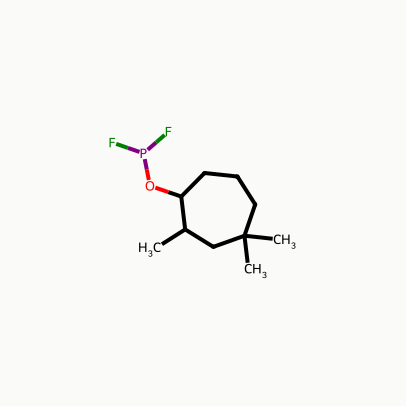 CC1CC(C)(C)CCCC1OP(F)F